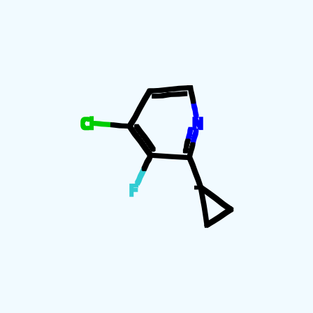 Fc1c(Cl)ccnc1[C]1CC1